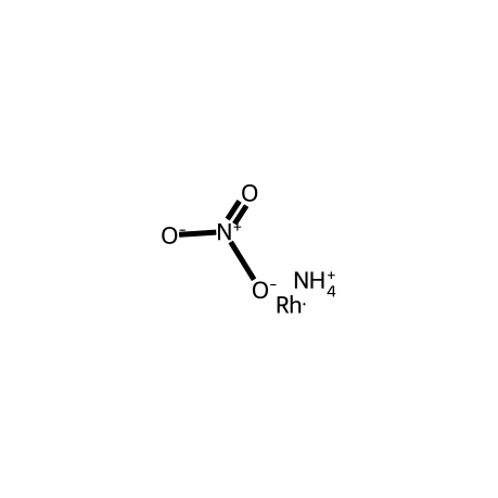 O=[N+]([O-])[O-].[NH4+].[Rh]